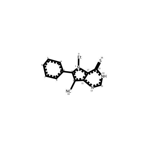 CCn1c(-c2ccccc2)c(C#N)c2nc[nH]c(=S)c21